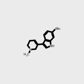 CN1CCC=C(c2c[nH]c3cc(C(C)(C)C)ccc23)C1